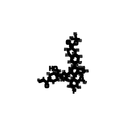 C=CC(=O)N1CCC(CO)(n2cc(-c3nc(-c4ccc5c(c4)CCN(C(=O)OC(C)(C)C)C5)c4ccsc4c3-c3ccc(F)cc3OC)cn2)CC1